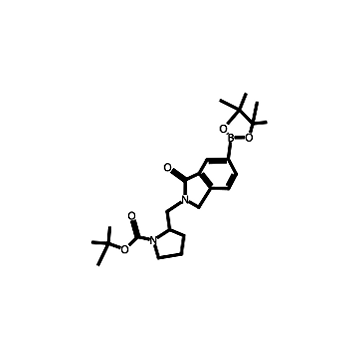 CC(C)(C)OC(=O)N1CCCC1CN1Cc2ccc(B3OC(C)(C)C(C)(C)O3)cc2C1=O